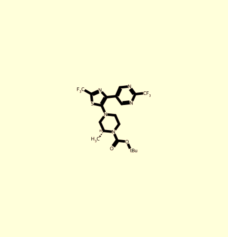 C[C@@H]1CN(c2sc(C(F)(F)F)nc2-c2cnc(C(F)(F)F)nc2)CCN1C(=O)OC(C)(C)C